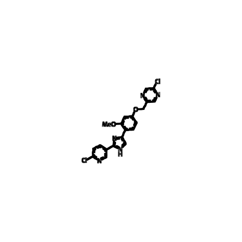 COc1cc(OCc2cnc(Cl)cn2)ccc1-c1c[nH]c(-c2ccc(Cl)nc2)n1